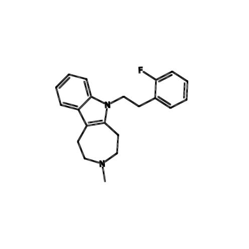 CN1CCc2c(n(CCc3ccccc3F)c3ccccc23)CC1